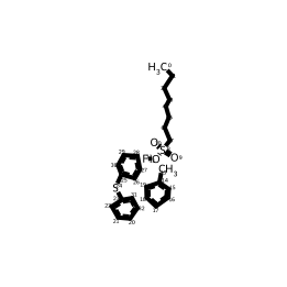 CCCCCCCCS(=O)(=O)OF.Cc1ccccc1.c1ccc(Sc2ccccc2)cc1